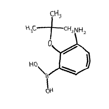 CC(C)(C)Oc1c(N)cccc1B(O)O